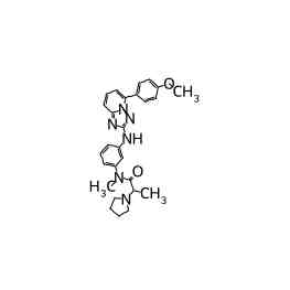 COc1ccc(-c2cccc3nc(Nc4cccc(N(C)C(=O)C(C)N5CCCC5)c4)nn23)cc1